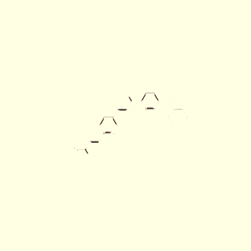 O=C(C=Cc1ccc(/C=C/C(=O)c2ccc(CN3CCOCC3)cc2)cn1)NO